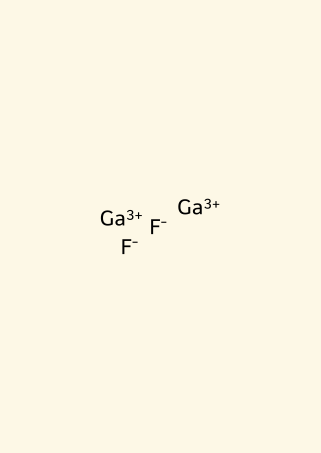 [F-].[F-].[Ga+3].[Ga+3]